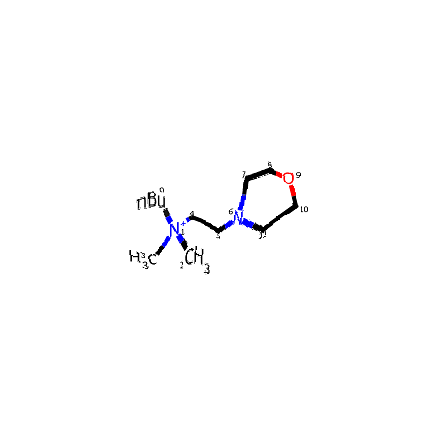 CCCC[N+](C)(C)CCN1CCOCC1